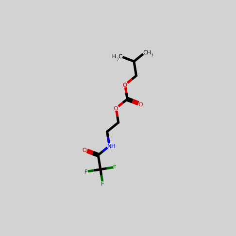 CC(C)COC(=O)OCCNC(=O)C(F)(F)F